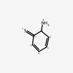 NC1C=CC=CC1=S